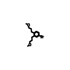 COCCCc1ccc(Br)cc1CCCOC